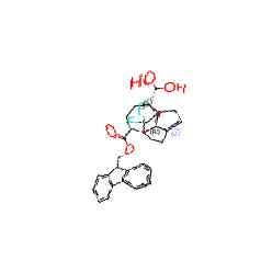 O=C(OCC1c2ccccc2-c2ccccc21)C1CC[C@H](C(O)O)C[C@@H](/C2=C\CCC(F)(F)CCC2)C1